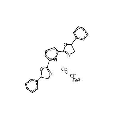 [Cl-].[Cl-].[Cl-].[Fe+3].c1ccc(C2CN=C(c3cccc(C4=NCC(c5ccccc5)O4)n3)O2)cc1